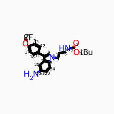 CC(C)(C)OC(=O)NCCCn1cc(-c2ccc(OC(F)(F)F)cc2)c2cc(N)ccc21